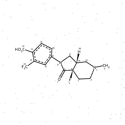 CN1CC[C@]2(F)C(=O)N(c3ccc(C(=O)O)c(C(F)(F)F)c3)C[C@@H]2C1